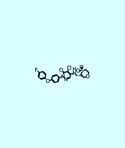 O=c1c(Cl)c(NC[C@H]2COCCS2(=O)=O)cnn1-c1ccc(Oc2ccc(F)cc2)cc1